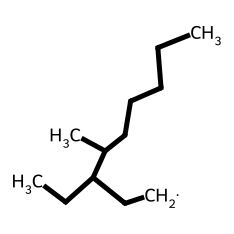 [CH2]CC(CC)C(C)CCCCC